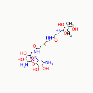 CC(C)(CO)[C@@H](O)C(=O)NCCC(=O)NCCSCCC(=O)NC[C@H]1OC(O[C@H]2[C@H](O)[C@@H](O)[C@H](N)C[C@@H]2N)[C@H](N)[C@@H](O)[C@@H]1O